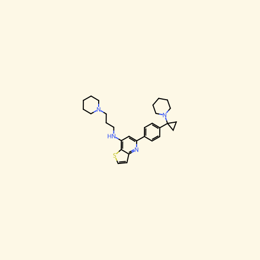 c1cc2nc(-c3ccc(C4(N5CCCCC5)CC4)cc3)cc(NCCCN3CCCCC3)c2s1